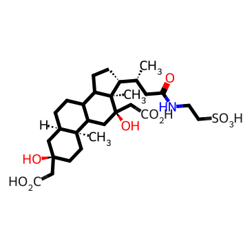 C[C@H](CC(=O)NCCS(=O)(=O)O)[C@H]1CCC2C3CC[C@@H]4C[C@@](O)(CC(=O)O)CC[C@]4(C)C3C[C@@](O)(CC(=O)O)[C@@]21C